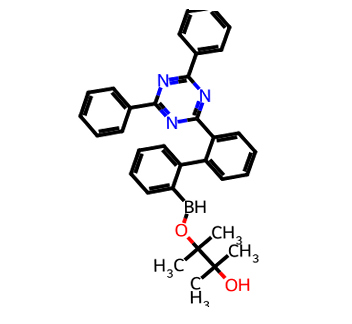 CC(C)(O)C(C)(C)OBc1ccccc1-c1ccccc1-c1nc(-c2ccccc2)nc(-c2ccccc2)n1